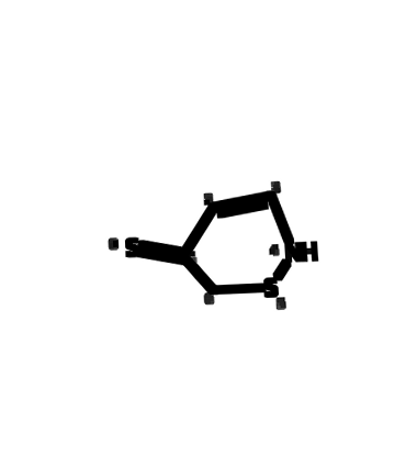 S=C1C=CNSC1